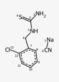 N#[C][Na].NC(=S)NCc1ccccc1Cl